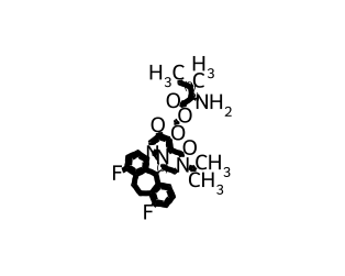 CC[C@@H](C)[C@@H](N)C(=O)OCOc1c2n(ncc1=O)[C@@H](C1c3cccc(F)c3CCc3c(F)cccc31)CN(C(C)C)C2=O